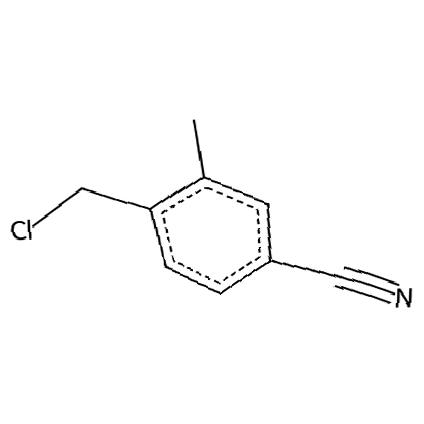 Cc1cc(C#N)ccc1CCl